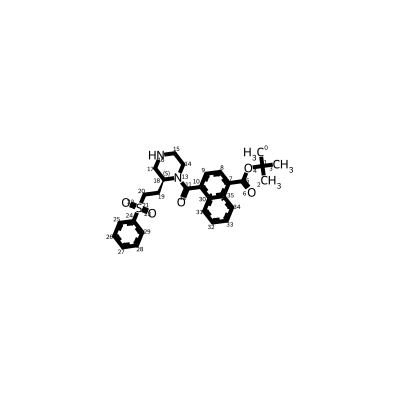 CC(C)(C)OC(=O)c1ccc(C(=O)N2CCNC[C@@H]2CCS(=O)(=O)c2ccccc2)c2ccccc12